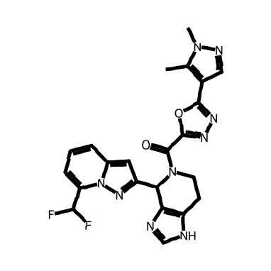 Cc1c(-c2nnc(C(=O)N3CCc4[nH]cnc4C3c3cc4cccc(C(F)F)n4n3)o2)cnn1C